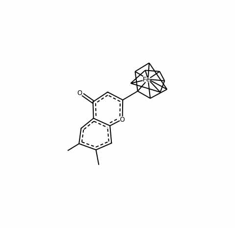 Cc1cc2oc([C]34[CH]5[CH]6[CH]7[CH]3[Fe]6754389%10[CH]4[CH]3[CH]8[CH]9[CH]4%10)cc(=O)c2cc1C